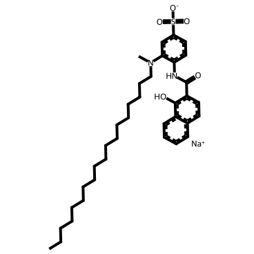 CCCCCCCCCCCCCCCCCCN(C)c1cc(S(=O)(=O)[O-])ccc1NC(=O)c1ccc2ccccc2c1O.[Na+]